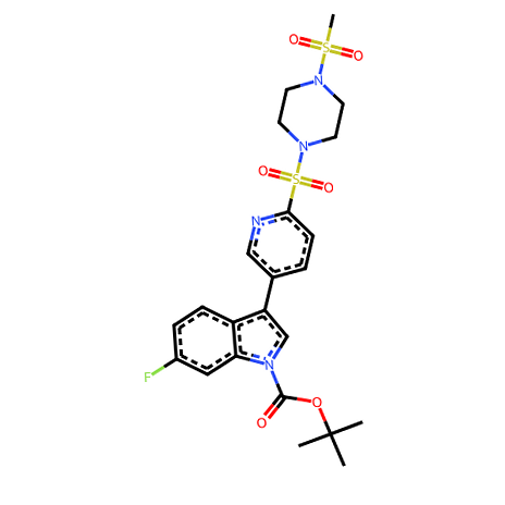 CC(C)(C)OC(=O)n1cc(-c2ccc(S(=O)(=O)N3CCN(S(C)(=O)=O)CC3)nc2)c2ccc(F)cc21